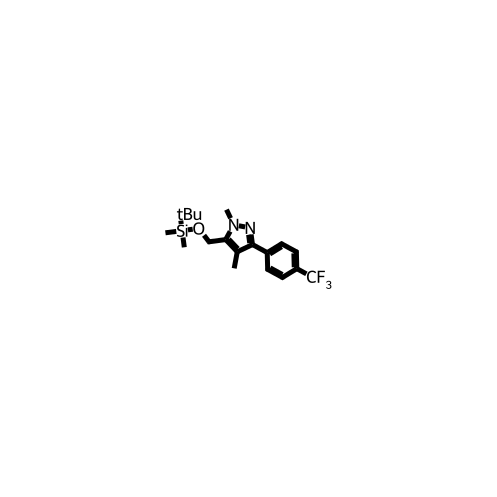 Cc1c(-c2ccc(C(F)(F)F)cc2)nn(C)c1CO[Si](C)(C)C(C)(C)C